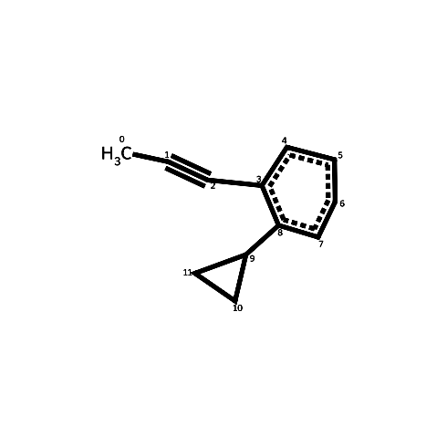 CC#Cc1ccccc1C1CC1